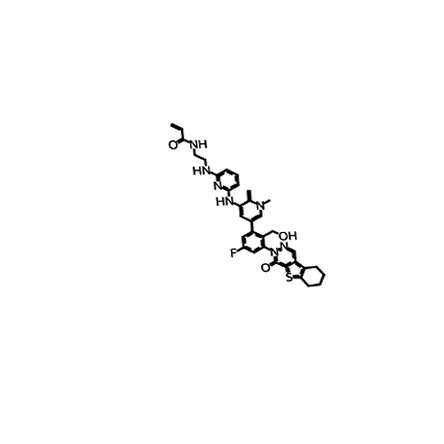 C=CC(=O)NCCNc1cccc(NC2=CC(c3cc(F)cc(-n4ncc5c6c(sc5c4=O)CCCC6)c3CO)=CN(C)C2=C)n1